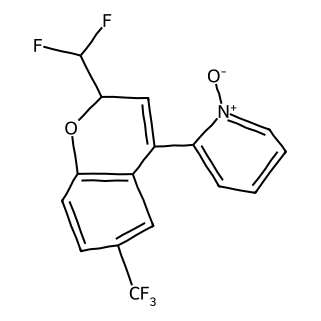 [O-][n+]1ccccc1C1=CC(C(F)F)Oc2ccc(C(F)(F)F)cc21